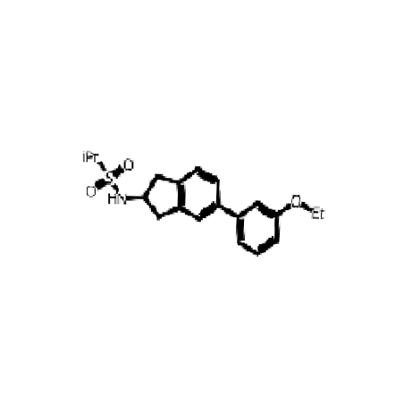 CCOc1cccc(-c2ccc3c(c2)CC(NS(=O)(=O)C(C)C)C3)c1